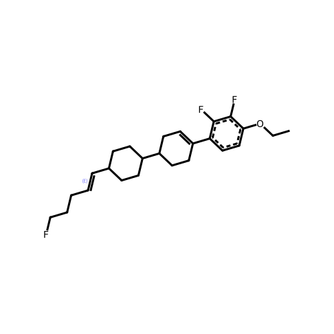 CCOc1ccc(C2=CCC(C3CCC(/C=C/CCCF)CC3)CC2)c(F)c1F